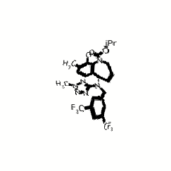 Cc1ccc2c(c1C)N(C(=O)OC(C)C)CCC[C@@H]2N(Cc1cc(C(F)(F)F)cc(C(F)(F)F)c1)c1nnn(C)n1